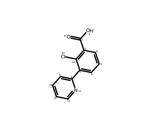 O=C(O)c1cccc(-c2ccccn2)c1Cl